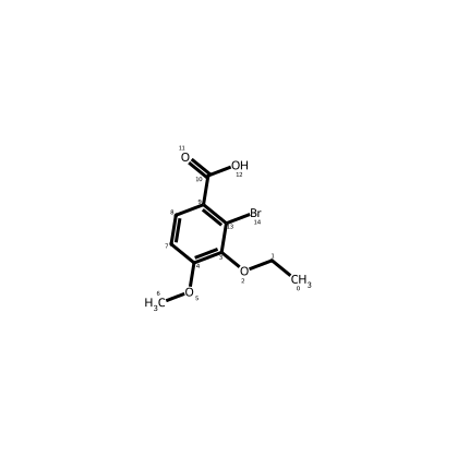 CCOc1c(OC)ccc(C(=O)O)c1Br